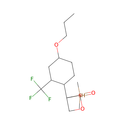 CCCOC1CCC(C2([SH](C)(C)=O)COC2)C(C(F)(F)F)C1